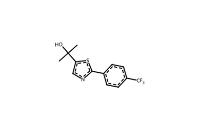 CC(C)(O)c1cnc(-c2ccc(C(F)(F)F)cc2)s1